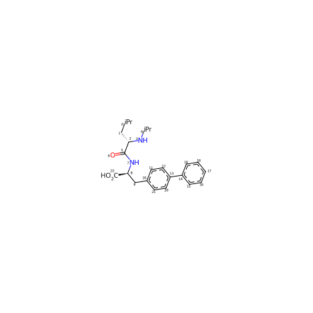 CC(C)C[C@H](NC(C)C)C(=O)N[C@@H](Cc1ccc(-c2ccccc2)cc1)C(=O)O